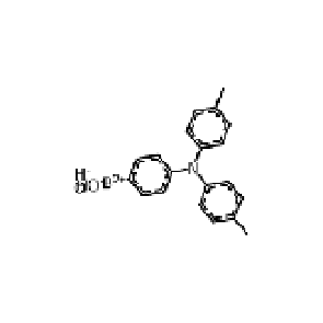 [B+2]c1ccc(N(c2ccc(C)cc2)c2ccc(C)cc2)cc1.[OH-].[OH-]